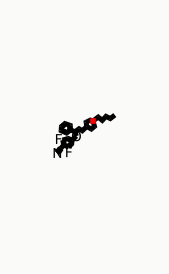 CCCCCC1CCC(CCC(Oc2cc(F)c(C#N)c(F)c2)c2ccccc2)CC1